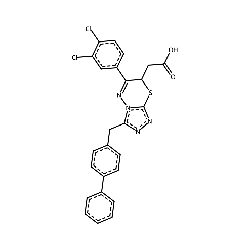 O=C(O)CC1Sc2nnc(Cc3ccc(-c4ccccc4)cc3)n2N=C1c1ccc(Cl)c(Cl)c1